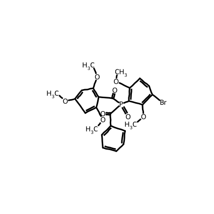 COc1cc(OC)c(C(=O)P(=O)(C(=O)c2ccccc2)c2c(OC)ccc(Br)c2OC)c(OC)c1